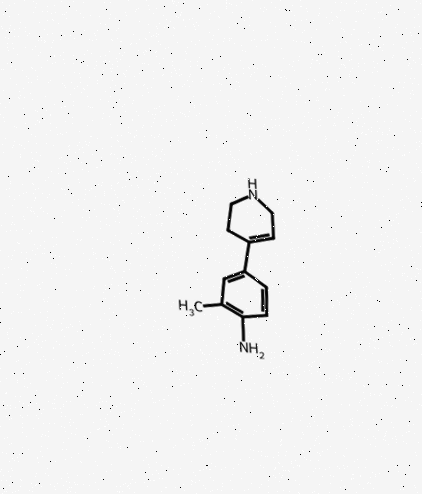 Cc1cc(C2=CCNCC2)ccc1N